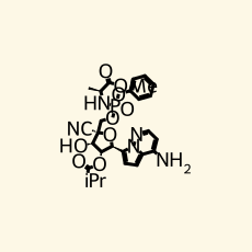 COC(=O)[C@H](C)NP(=O)(OC[C@@]1(C#N)O[C@@H](c2ccc3c(N)ccnn23)[C@H](OC(=O)C(C)C)[C@@H]1O)Oc1ccccc1